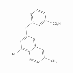 Cc1cnc2c(C#N)cc(Cc3cc(C(=O)O)ccn3)cc2c1